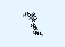 NC(=O)OC1CCN(C(=O)/C=C/COc2cccc3c2C(=O)N(C2CCC(=O)NC2=O)C3=O)CC1